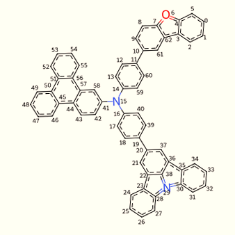 c1ccc2c(c1)oc1ccc(-c3ccc(N(c4ccc(-c5cc6c7ccccc7n7c8ccccc8c(c5)c67)cc4)c4ccc5c6ccccc6c6ccccc6c5c4)cc3)cc12